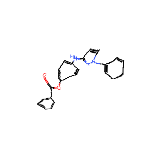 O=C(Oc1ccc(Nc2ccn(C3=CCCC=C3)n2)cc1)c1ccccc1